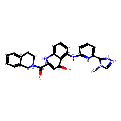 CC(C)n1cnnc1-c1cccc(Nc2cccc3[nH]c(C(=O)N4CCc5ccccc5C4)cc(=O)c23)n1